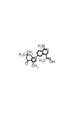 C/C(=N\O)c1cnc(N)c2ccc(-n3cc(C)c4c3CC(C)(C)CC4=O)cc12